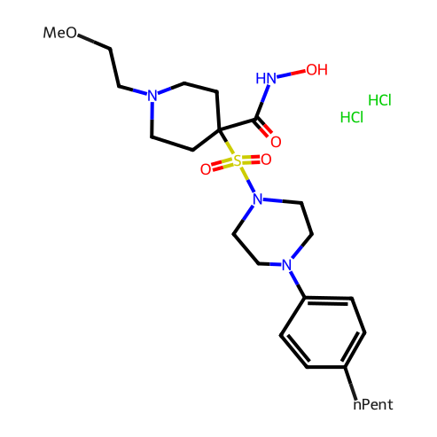 CCCCCc1ccc(N2CCN(S(=O)(=O)C3(C(=O)NO)CCN(CCOC)CC3)CC2)cc1.Cl.Cl